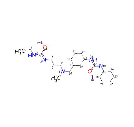 CCN/C(=N/CCCN(C)CC1CCCC(N/C(=N/C2CCCCC2)OI)C1)OI